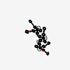 O=C1C(c2ccc(C#Cc3ccccc3)cc2)=C(c2ccc(C#Cc3ccccc3)cc2)C(c2ccc(Cc3ccc(C4=C(c5ccc(C#Cc6ccccc6)cc5)C(=O)C(c5ccccc5)=C4c4ccc(Oc5ccc(C6=C(c7ccccc7)C(=O)C(c7ccc(C#Cc8ccccc8)cc7)=C6c6ccc(C#Cc7ccccc7)cc6)cc5)cc4)cc3)cc2)=C1c1ccccc1